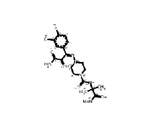 C=C(C(N)=O)/C(=N\N1CCN(C(=O)NC(C)(C)C(=O)NC)CC1)c1ccc(F)c(Cl)c1